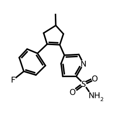 CC1CC(c2ccc(F)cc2)=C(c2ccc(S(N)(=O)=O)nc2)C1